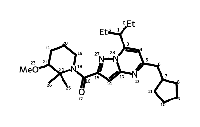 CCC(CC)c1cc(CC2CCCC2)nc2cc(C(=O)N3CCCC(OC)C3(C)C)nn12